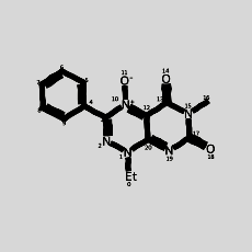 CCn1nc(-c2ccccc2)[n+]([O-])c2c(=O)n(C)c(=O)nc1-2